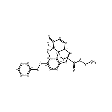 CCOC(=O)N1CC[C@]23c4c5ccc(OCc6ccccc6)c4O[C@H]2C(=O)C=CC3C1C5